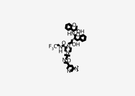 CN(C)c1cncc(-c2cnc(C(C)(C)N3CCN(C[C@@H](O)C[C@@H](Cc4ccccc4)C(=O)N[C@H]4c5ccccc5OC[C@H]4O)[C@H](C(=O)NCC(F)(F)F)C3)o2)c1